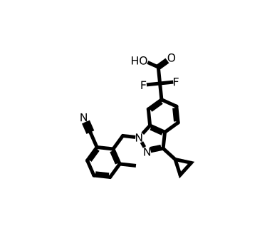 Cc1cccc(C#N)c1Cn1nc(C2CC2)c2ccc(C(F)(F)C(=O)O)cc21